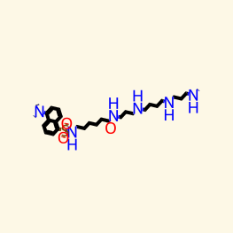 CNCCCNCCCCNCCCNC(=O)CCCCCNS(=O)(=O)c1cccc2c(N(C)C)cccc12